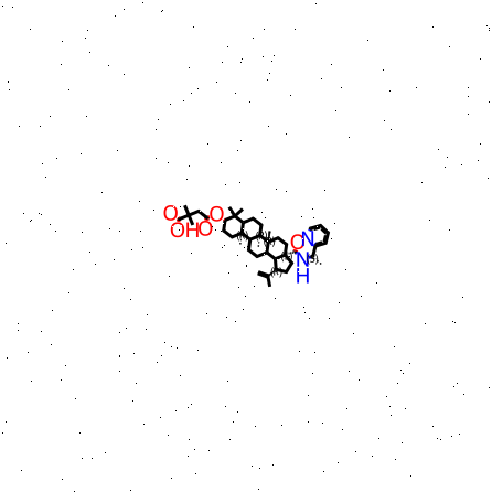 C=C(C)[C@@H]1CC[C@]2(C(=O)N[C@@H](C)c3ccccn3)CC[C@]3(C)C(CCC4[C@@]5(C)CCC(OC(=O)CC(C)(C)C(=O)O)C(C)(C)C5CC[C@]43C)C12